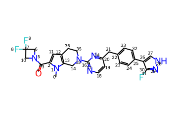 Cn1c(C(=O)N2CC(F)(F)C2)cc2c1CN(c1nccc(Cc3ccc(-c4c[nH]nc4F)cc3)n1)CC2